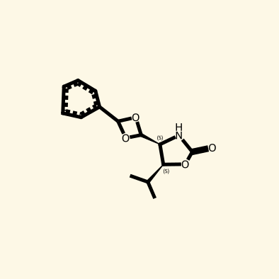 CC(C)[C@@H]1OC(=O)N[C@@H]1C1OC(c2ccccc2)O1